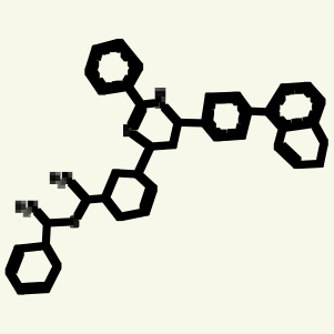 NC(SC(N)C1CC=CC(C2CC(c3ccc(-c4cccc5c4C=CCC5)cc3)NC(c3ccccc3)=N2)C1)C1C=CC=CC1